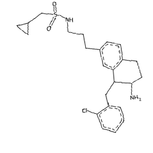 NC1CCc2ccc(CCCNS(=O)(=O)CC3CC3)cc2C1Cc1ccccc1Cl